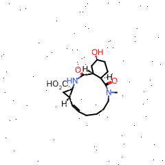 CN1CCCC/C=C\[C@@H]2C[C@@]2(C(=O)O)NC(=O)[C@@H]2C[C@@H](O)CC[C@H]2C1=O